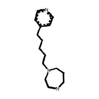 c1cc(CCCCCN2CCC[N]CC2)ccn1